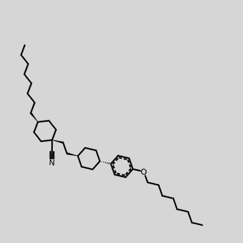 CCCCCCCCOc1ccc([C@H]2CC[C@H](CC[C@]3(C#N)CC[C@H](CCCCCCCC)CC3)CC2)cc1